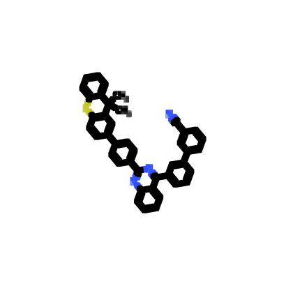 CC1(C)c2ccccc2Sc2ccc(-c3ccc(-c4nc(-c5cccc(-c6cccc(C#N)c6)c5)c5ccccc5n4)cc3)cc21